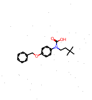 CC(C)(C)CCN(C(=O)O)c1ccc(OCc2ccccc2)cc1